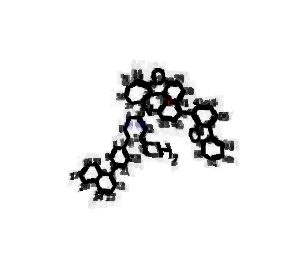 C=C/C=C(\C=C/Cc1ccc(-c2cccc3ccccc23)cc1)N(C1=c2c(oc3ccccc23)=CC=CC1)c1ccc(-c2cccc3c2oc2ccccc23)cc1